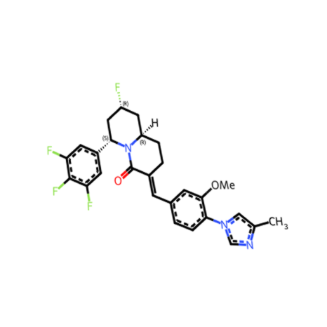 COc1cc(C=C2CC[C@@H]3C[C@@H](F)C[C@@H](c4cc(F)c(F)c(F)c4)N3C2=O)ccc1-n1cnc(C)c1